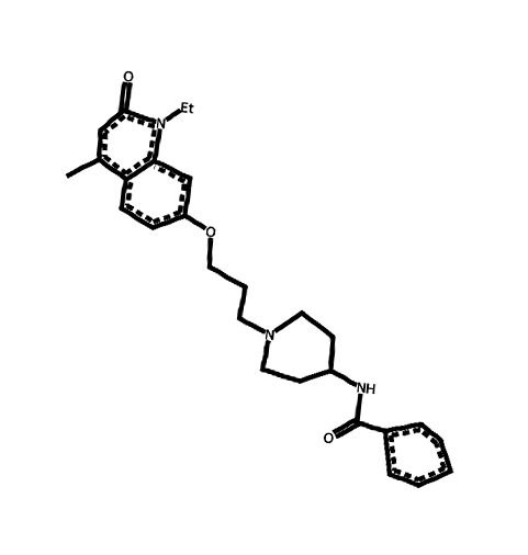 CCn1c(=O)cc(C)c2ccc(OCCCN3CCC(NC(=O)c4ccccc4)CC3)cc21